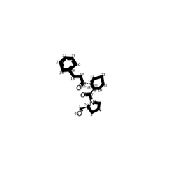 O=C[C@@H]1CCCN1C(=O)[C@@H]1CCCC[C@H]1C(=O)CCc1ccccc1